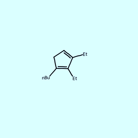 CCCCC1=C(CC)C(CC)=CC1